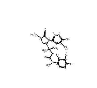 CN(C(=O)CC(C)(C)[C@H]1CN(C(=O)O)C(=O)N1c1cc(C(F)(F)F)c(Cl)nn1)c1ccc(F)c(Cl)c1F